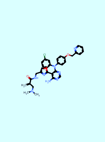 C=C(CN(C)C)C(=O)NCc1coc(-c2c(N)ncnc2N(c2ccc(OCc3ccccn3)cc2)c2cccc(Cl)c2)n1